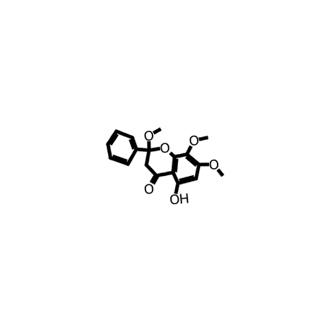 COc1cc(O)c2c(c1OC)OC(OC)(c1ccccc1)CC2=O